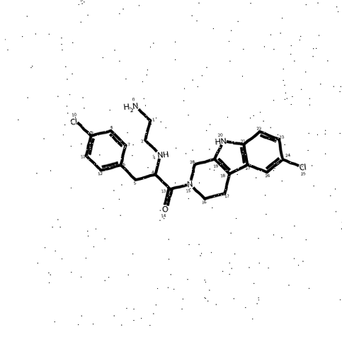 NCCNC(Cc1ccc(Cl)cc1)C(=O)N1CCc2c([nH]c3ccc(Cl)cc23)C1